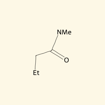 CCCC(=O)NC